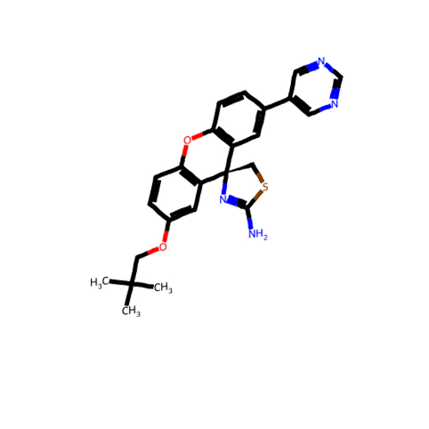 CC(C)(C)COc1ccc2c(c1)[C@]1(CSC(N)=N1)c1cc(-c3cncnc3)ccc1O2